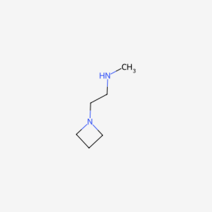 CNCCN1CCC1